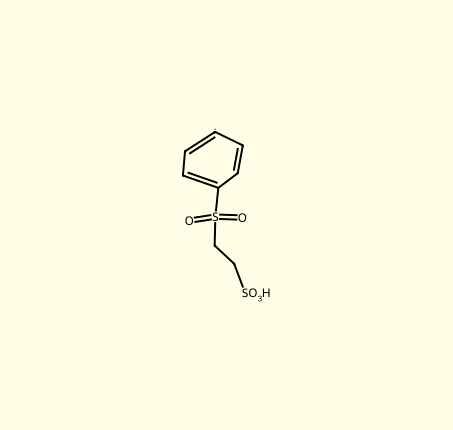 O=S(=O)(O)CCS(=O)(=O)c1cc[c]cc1